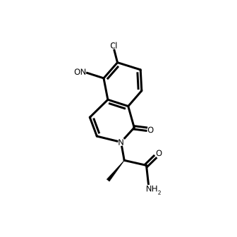 C[C@H](C(N)=O)n1ccc2c(N=O)c(Cl)ccc2c1=O